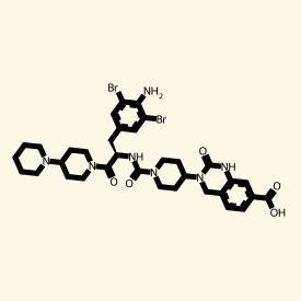 Nc1c(Br)cc(C[C@@H](NC(=O)N2CCC(N3Cc4ccc(C(=O)O)cc4NC3=O)CC2)C(=O)N2CCC(N3CCCCC3)CC2)cc1Br